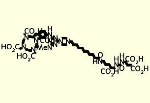 CNc1nc(Nc2ccc(CC3CN(CC(=O)O)CCN(CC(=O)O)CCN(CC(=O)O)CCN3CC(=O)O)cc2)nc(N2CCN(CCCCCCCCCCC(=O)NCCCC[C@H](NC(=O)N[C@@H](CCC(=O)O)C(=O)O)C(=O)O)CC2)n1